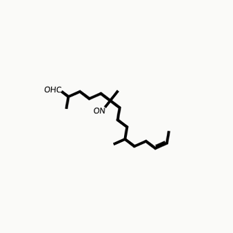 C/C=C\CCC(C)CCCC(C)(CCCC(C)C=O)N=O